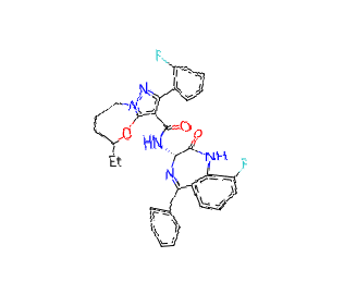 CCC1CCCn2nc(-c3ccccc3F)c(C(=O)N[C@H]3N=C(c4ccccc4)c4cccc(F)c4NC3=O)c2O1